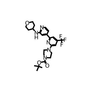 CC(C)(C)OC(=O)N1CCN(c2cc(C(F)(F)F)cc(-c3ccnc(NC4CCOCC4)c3)n2)CC1